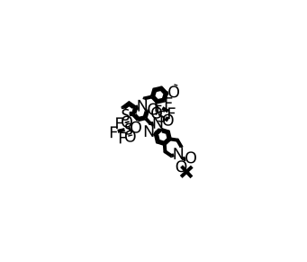 COc1ccc(Cn2c(=O)c(-c3nc4cc5c(cc4n3S(=O)(=O)C(F)(F)F)CCN(C(=O)OC(C)(C)C)CC5)c(OS(=O)(=O)C(F)(F)F)c3sccc32)cc1